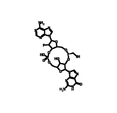 Nc1nc2c(ncn2C2OC3COP(=O)(O)OC4C(CO[P@@](CS)OC2C3O)OC(n2cnc3c(N)ncnc32)C4F)c(=O)[nH]1